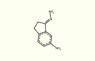 N/N=C1\CCc2ccc(N)cc21